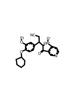 CCOc1cc(C(CC#N)C2C(=O)c3cnccc3[NH+]2[O-])ccc1OC1CCCCC1